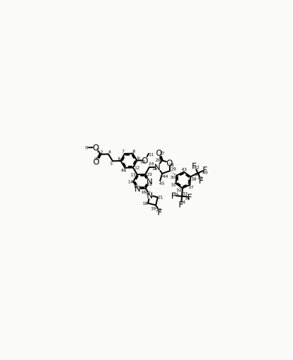 COC(=O)CCc1ccc(OC)c(-c2cnc(N3CC(F)C3)nc2CN2C(=O)O[C@H](c3cc(C(F)(F)F)cc(C(F)(F)F)c3)C2C)c1